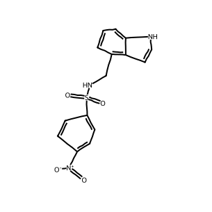 O=[N+]([O-])c1ccc(S(=O)(=O)NCc2cccc3[nH]ccc23)cc1